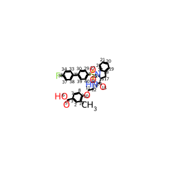 Cc1cc(C(=O)O)ccc1OCCNC(=O)[C@@H]1Cc2ccccc2N1S(=O)(=O)c1ccc(-c2ccc(F)cc2)cc1